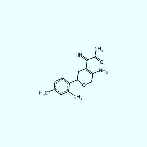 CC(=O)C(=N)C1=C(N)COC(c2ccc(C)cc2C)C1